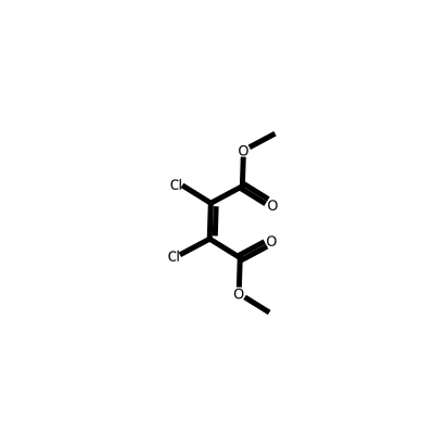 COC(=O)/C(Cl)=C(/Cl)C(=O)OC